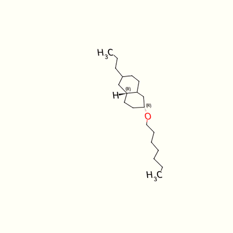 CCCCCCCO[C@@H]1CC[C@@H]2CC(CCC)CCC2C1